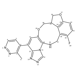 Cc1nnccc1-c1cc2c(n3cnnc13)NCc1c(F)ccc3c1C(CO3)CO2